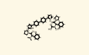 CN(C)[C@@H](C(=O)N1CCC[C@H]1c1ncc(-c2ccc(-c3ccc(-c4cnc([C@@H]5CCCN5C(=O)[C@@H](c5ccccc5Cl)N(C)C(=O)O)[nH]4)cc3)cc2)[nH]1)c1ccccc1Cl